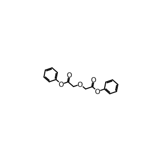 O=C(COCC(=O)Oc1ccccc1)Oc1ccccc1